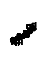 O=C(NCc1cccnc1)Nc1ccc(S(=O)(=O)N2CCN(c3cccc(Cl)c3Cl)CC2)cc1